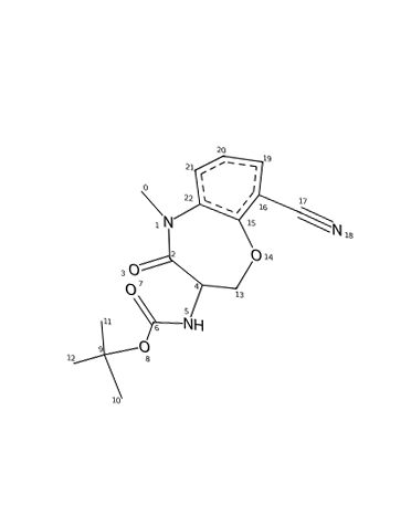 CN1C(=O)C(NC(=O)OC(C)(C)C)COc2c(C#N)cccc21